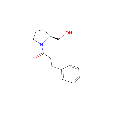 O=C(CCc1ccccc1)N1CCC[C@H]1CO